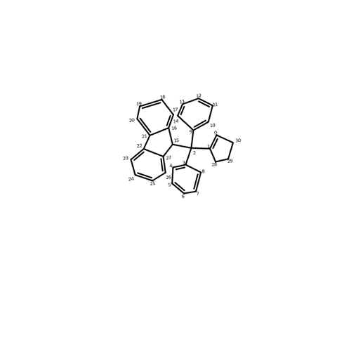 C1=C(C(c2ccccc2)(c2ccccc2)C2c3ccccc3-c3ccccc32)CCC1